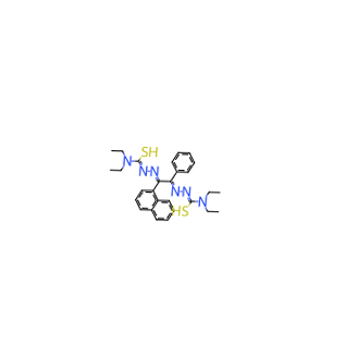 CCN(CC)/C(S)=N/N=C(/C(=N/N=C(\S)N(CC)CC)c1cccc2ccccc12)c1ccccc1